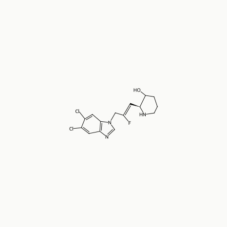 OC1CCCN[C@H]1/C=C(\F)Cn1cnc2cc(Cl)c(Cl)cc21